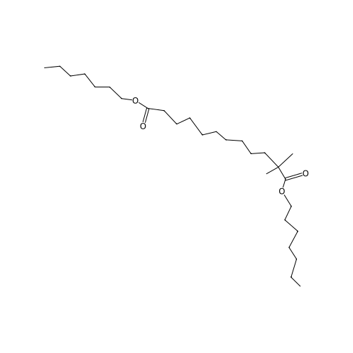 CCCCCCCOC(=O)CCCCCCCCCC(C)(C)C(=O)OCCCCCCC